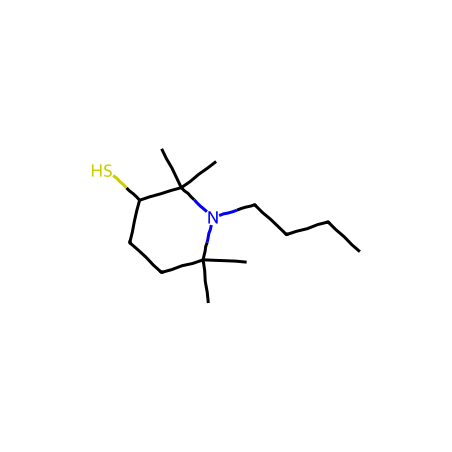 CCCCN1C(C)(C)CCC(S)C1(C)C